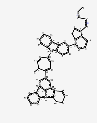 C/C=C\C=C/C1=CCc2c1cccc2-c1ccc2c(c1)c1ccccc1n2C1=CC=C(c2cc3c4c(n5c6ccccc6c(c2)c35)CCC=C4)C(C)C=C1